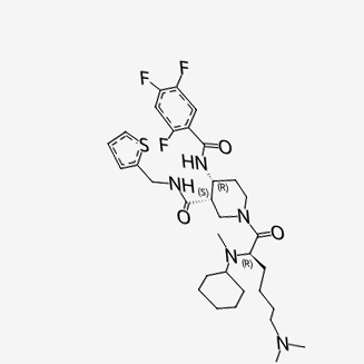 CN(C)CCCC[C@H](C(=O)N1CC[C@@H](NC(=O)c2cc(F)c(F)cc2F)[C@@H](C(=O)NCc2cccs2)C1)N(C)C1CCCCC1